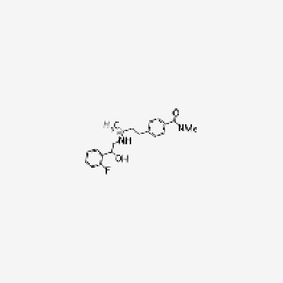 CNC(=O)c1ccc(CC[C@@H](C)NCC(O)c2ccccc2F)cc1